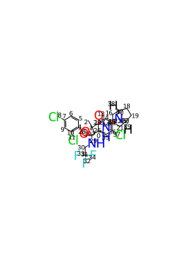 CC(C)(Oc1ccc(Cl)cc1Cl)C(=O)N[C@H]1C[C@H]2CC[C@@H](C1)N2c1ccc(C(=O)NCC(F)(F)F)cc1Cl